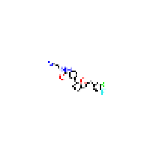 N#CCCNC(=O)c1cccc(-c2cccc3cc(Cc4ccc(F)c(Cl)c4)oc23)c1